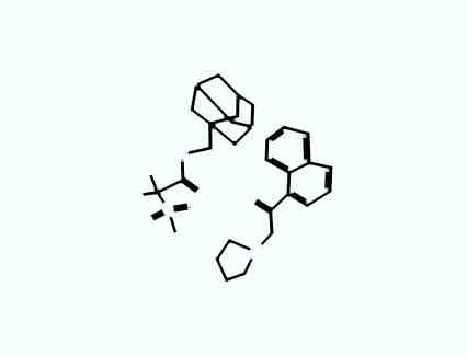 O=C(C[S+]1CCCC1)c1cccc2ccccc12.O=C(OCC12CC3CC(CC(C3)C1)C2)C(F)(F)S(=O)(=O)[O-]